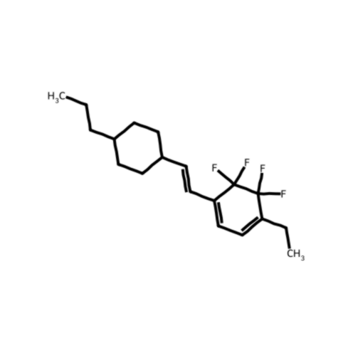 CCCC1CCC(/C=C/C2=CC=C(CC)C(F)(F)C2(F)F)CC1